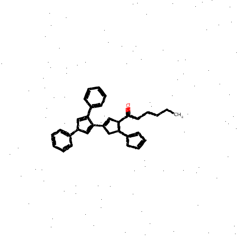 CCCCCC(=O)C1C=C(C2=CC(c3ccccc3)C=C2c2ccccc2)CC1C1=CC=CC1